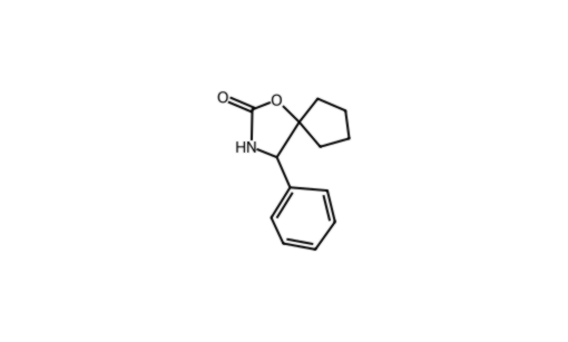 O=C1NC(c2ccccc2)C2(CCCC2)O1